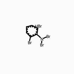 Br.Brc1ccccc1N(Br)Br